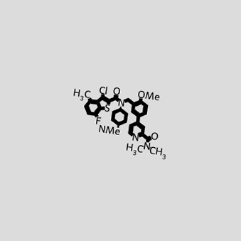 CN[C@H]1CC[C@H](N(Cc2cc(-c3ccnc(C(=O)N(C)C)c3)ccc2OC)C(=O)c2sc3c(F)ccc(C)c3c2Cl)CC1